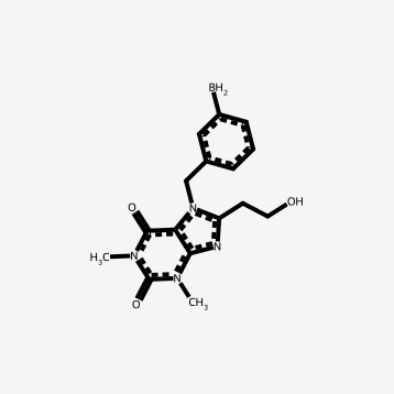 Bc1cccc(Cn2c(CCO)nc3c2c(=O)n(C)c(=O)n3C)c1